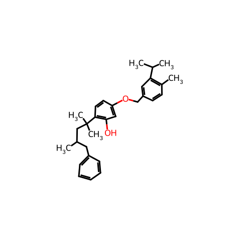 Cc1ccc(COc2ccc(C(C)(C)CC(C)Cc3ccccc3)c(O)c2)cc1C(C)C